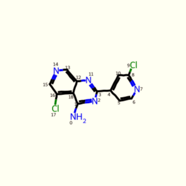 Nc1nc(-c2ccnc(Cl)c2)nc2cncc(Cl)c12